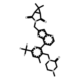 Cc1cc(C(F)(F)F)nc(-c2ccnc3cc(CN4C(=O)C5C(C4=O)C5(C)C)sc23)c1CN1CCN(C)CC1=O